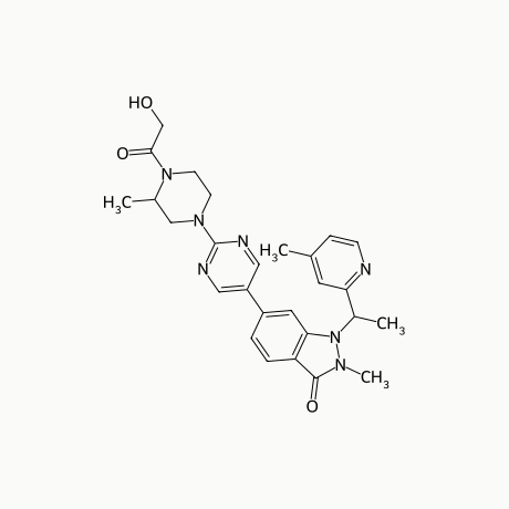 Cc1ccnc(C(C)n2c3cc(-c4cnc(N5CCN(C(=O)CO)C(C)C5)nc4)ccc3c(=O)n2C)c1